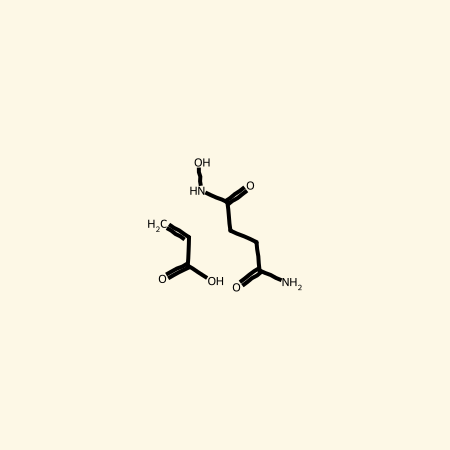 C=CC(=O)O.NC(=O)CCC(=O)NO